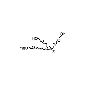 CCC(COCCOCCO)(COCCOCCO)COCCOCCOCCOC